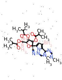 Bc1cc([C@]2(C#N)OC(C(B)(B)OC(=O)C(C)C)[C@@H](OC(=O)C(C)C)[C@H]2OC(=O)C(C)C)n2ncnc(/N=C\N(C)C)c12